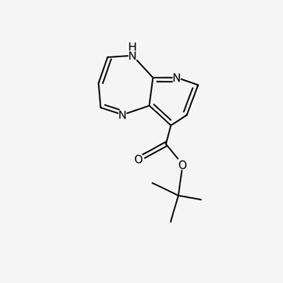 CC(C)(C)OC(=O)c1ccnc2c1N=CC=CN2